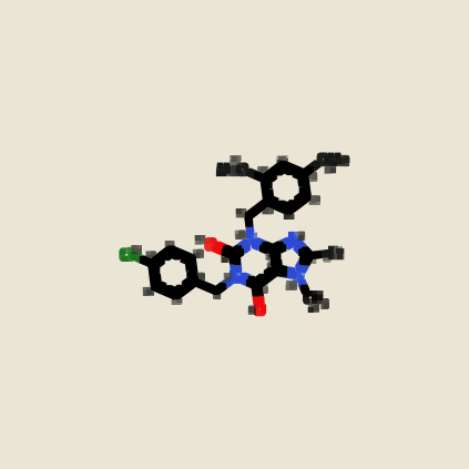 CCc1nc2c(c(=O)n(Cc3ccc(Cl)cc3)c(=O)n2Cc2ccc(OC)cc2OC)n1C